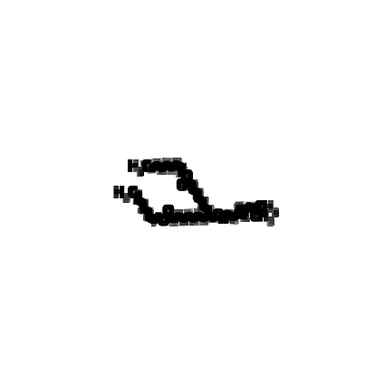 CCCCCC/C=C\COC(=O)CCCCCCCC(CCCCCCCC(=O)OC/C=C\CCCCCC)CO/N=C/CC1CC(CN(C)C)C1